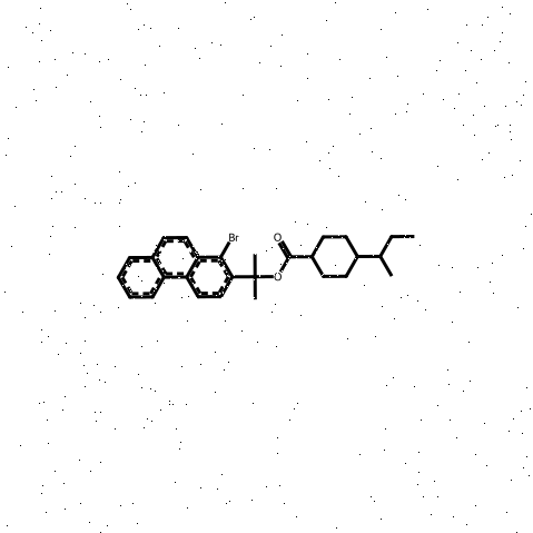 CCC(C)C1CCC(C(=O)OC(C)(C)c2ccc3c(ccc4ccccc43)c2Br)CC1